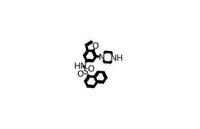 O=S(=O)(Nc1cc(N2CCNCC2)c2occc2c1)c1cccc2ccccc12